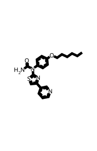 CCCCCCOc1ccc(N(C(N)=O)c2nc(-c3cccnc3)cs2)cc1